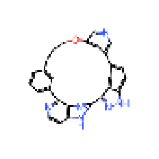 c1cc2cc(c1)-c1nccc3[nH]c(nc13)-c1n[nH]c3ccc(cc13)-c1cncc(c1)OCCC2